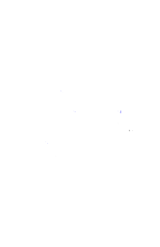 CCCCC(=O)Nc1csc(-c2cncc(C3CC[N+](C)([SH]=O)CC3)n2)c1